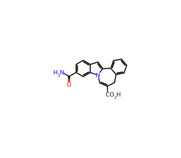 NC(=O)c1ccc2cc3n(c2c1)C=C(C(=O)O)Cc1ccccc1-3